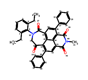 CCc1cccc(CC)c1N1CC(=O)c2c(-c3ccccc3)cc3c4c(c(-c5ccccc5)cc(c24)C1=O)C(=O)N(C)C3=O